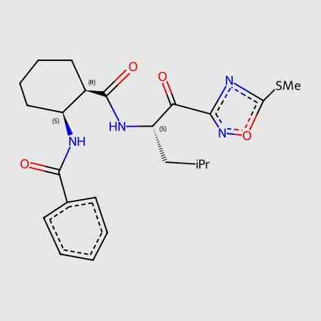 CSc1nc(C(=O)[C@H](CC(C)C)NC(=O)[C@@H]2CCCC[C@@H]2NC(=O)c2ccccc2)no1